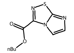 CCCCOC(=O)c1nsc2nccn12